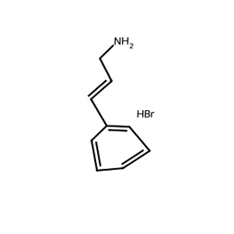 Br.NCC=Cc1ccccc1